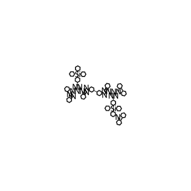 c1ccc([Si](c2ccccc2)(c2ccccc2)c2ccc(-c3nc(-n4c5ccccc5n5c6ccccc6nc45)nc(-n4c5ccccc5n5c6cc(-c7ccc8nc9n(-c%10nc(-c%11ccc([Si](c%12ccccc%12)(c%12ccccc%12)c%12cccc(-n%13c%14ccccc%14c%14ccccc%14%13)c%12)cc%11)nc(-n%11c%12ccccc%12c%12ccccc%12%11)n%10)c%10ccccc%10n9c8c7)ccc6nc45)n3)cc2)cc1